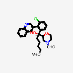 COCCCC[C@](O)(c1cccc(Cl)c1-c1cnc2ccccc2c1)C1CN(C=O)CCO1